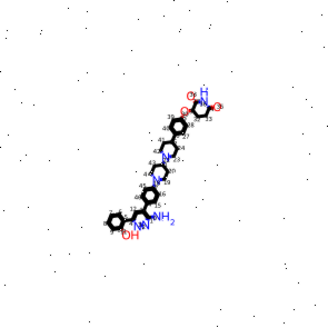 Nc1nnc(-c2ccccc2O)cc1-c1ccc(N2CCC(N3CCC(c4ccc(OC5CCC(=O)NC5=O)cc4)CC3)CC2)cc1